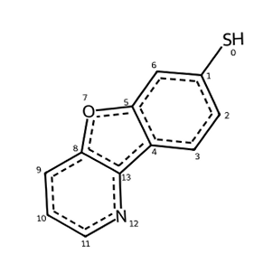 Sc1ccc2c(c1)oc1cccnc12